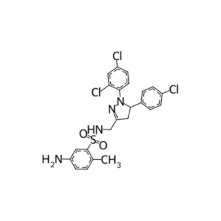 Cc1ccc(N)cc1S(=O)(=O)NCC1=NN(c2ccc(Cl)cc2Cl)C(c2ccc(Cl)cc2)C1